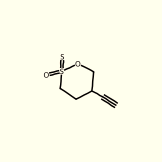 C#CC1CCS(=O)(=S)OC1